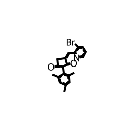 Cc1cc(C)c(C2C(=O)CC(=Cc3ncccc3Br)C2=O)c(C)c1